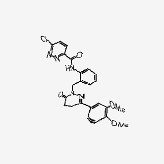 COc1ccc(C2=NN(Cc3ccccc3NC(=O)c3ccc(Cl)nn3)C(=O)CC2)cc1OC